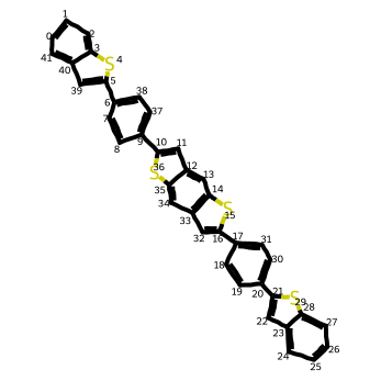 c1ccc2sc(-c3ccc(-c4cc5cc6sc(-c7ccc(-c8cc9ccccc9s8)cc7)cc6cc5s4)cc3)cc2c1